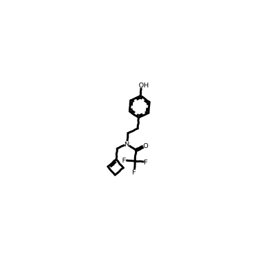 O=C(N(CCc1ccc(O)cc1)CC1=CCC1)C(F)(F)F